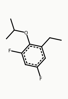 CCc1cc(F)cc(F)c1OC(C)C